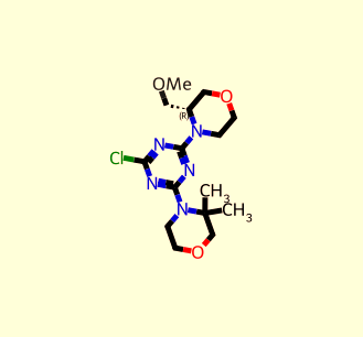 COC[C@@H]1COCCN1c1nc(Cl)nc(N2CCOCC2(C)C)n1